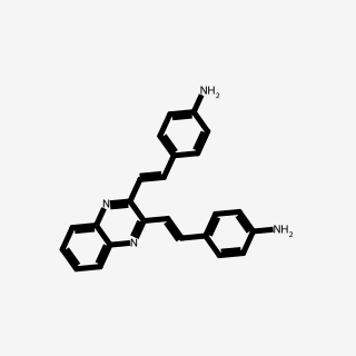 Nc1ccc(C=Cc2nc3ccccc3nc2C=Cc2ccc(N)cc2)cc1